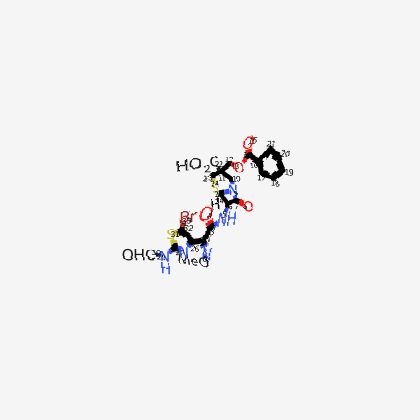 CON=C(C(=O)NC1C(=O)N2CC(COC(=O)c3ccccc3)(C(=O)O)CS[C@H]12)c1nc(NC=O)sc1Br